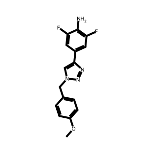 COc1ccc(Cn2cc(-c3cc(F)c(N)c(F)c3)nn2)cc1